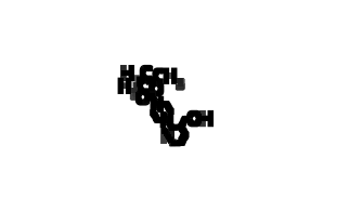 CC(C)(C)OC(=O)N1CCN(C2N=CC=CC2CO)CC1